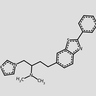 CN(C)C(CCc1ccc2nc(-c3ccccc3)sc2c1)Cn1ccnc1